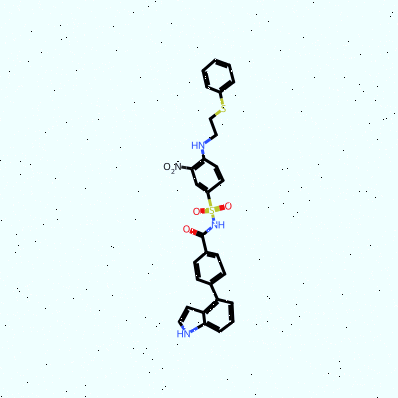 O=C(NS(=O)(=O)c1ccc(NCCSc2ccccc2)c([N+](=O)[O-])c1)c1ccc(-c2cccc3[nH]ccc23)cc1